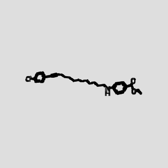 CCOC(=O)c1ccc(NCCCCCCCCCCCC#Cc2ccc(Cl)cc2)cc1